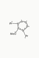 [CH2]C(C)c1cccc(C(C)C)c1OC